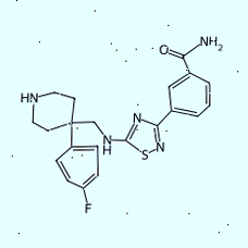 NC(=O)c1cccc(-c2nsc(NCC3(c4ccc(F)cc4)CCNCC3)n2)c1